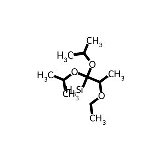 CCOC(C)C([SiH3])(OC(C)C)OC(C)C